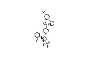 CC(C)(C)c1ccc(C2CCCN2C(=O)c2ccc(-c3cc(C(F)(F)F)nn3-c3ccccc3Cl)cc2)cc1